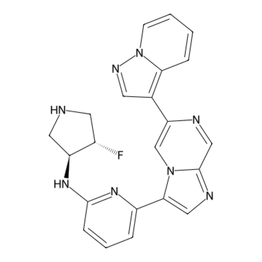 F[C@H]1CNC[C@@H]1Nc1cccc(-c2cnc3cnc(-c4cnn5ccccc45)cn23)n1